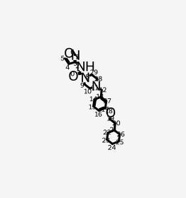 O=C(Nc1ccon1)N1CCN(Cc2cccc(OCCC3CCCCC3)c2)CC1